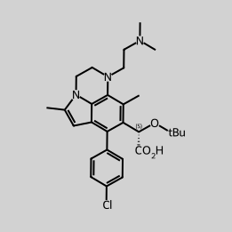 Cc1c([C@H](OC(C)(C)C)C(=O)O)c(-c2ccc(Cl)cc2)c2cc(C)n3c2c1N(CCN(C)C)CC3